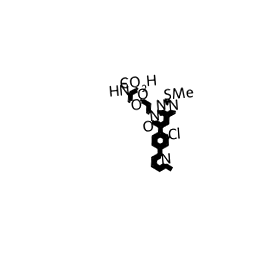 CSc1ncc2cc(-c3ccc(-c4cccc(C)n4)cc3Cl)c(=O)n(CCC3OCC(NC(=O)O)CO3)c2n1